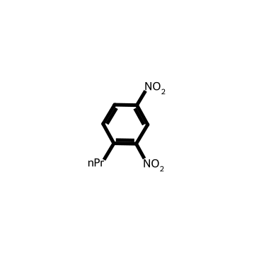 [CH]CCc1ccc([N+](=O)[O-])cc1[N+](=O)[O-]